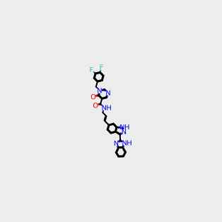 O=C(NCC=Cc1ccc2c(-c3nc4ccccc4[nH]3)n[nH]c2c1)c1cncn(Cc2ccc(F)c(F)c2)c1=O